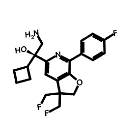 NC[C@](O)(c1cc2c(c(-c3ccc(F)cc3)n1)OCC2(CF)CF)C1CCC1